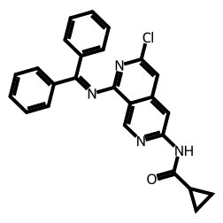 O=C(Nc1cc2cc(Cl)nc(N=C(c3ccccc3)c3ccccc3)c2cn1)C1CC1